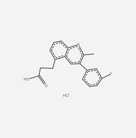 Cc1nc2cccc(CCC(=O)O)c2cc1-c1cccc(F)c1.Cl